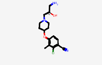 Cc1c(OC2CCN(C[C@H](O)CN)CC2)ccc(C#N)c1Cl